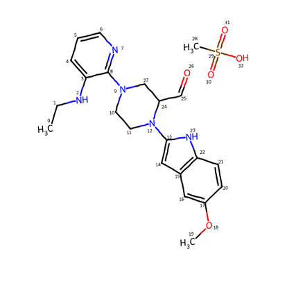 CCNc1cccnc1N1CCN(c2cc3cc(OC)ccc3[nH]2)C(C=O)C1.CS(=O)(=O)O